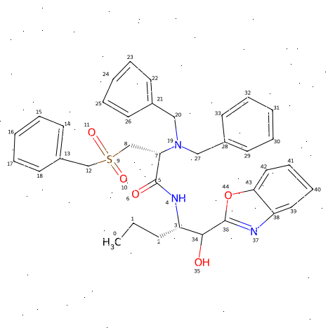 CCC[C@H](NC(=O)[C@H](CS(=O)(=O)Cc1ccccc1)N(Cc1ccccc1)Cc1ccccc1)C(O)c1nc2ccccc2o1